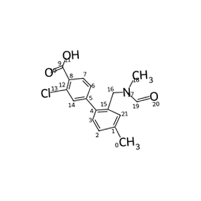 Cc1ccc(-c2ccc(C(=O)O)c(Cl)c2)c(CN(C)C=O)c1